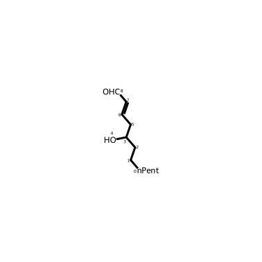 CCCCCCCC(O)C/C=C/C=O